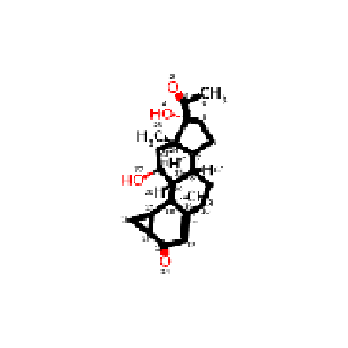 CC(=O)[C@@]1(O)CC[C@H]2[C@@H]3CCC4=CC(=O)C5CC5[C@@]4(C)[C@@H]3[C@@H](O)C[C@@]21C